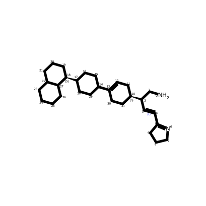 NCC(/C=C/C1=NCCC1)[C@@H]1CC=C(C2CCC([C@@H]3CCCC4CCCCC43)CC2)CC1